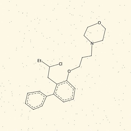 CCC(Cl)Cc1c(OCCCN2CCOCC2)cccc1-c1ccccc1